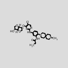 C=CC(=O)Nc1cc(Nc2ncc(Cl)c(O[C@@H]3CO[C@H]4[C@@H]3OC[C@H]4O)n2)ccc1N1CCC2(CCN(C)CC2)CC1